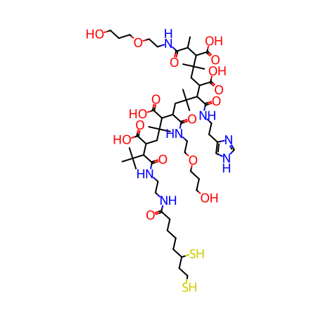 CC(C(=O)NCCOCCCO)C(C(=O)O)C(C)(C)CC(C(=O)O)C(C(=O)NCCc1c[nH]cn1)C(C)(C)CC(C(=O)NCCOCCCO)C(C(=O)O)C(C)(C)CC(C(=O)O)C(C(=O)NCCNC(=O)CCCCC(S)CCS)C(C)(C)C